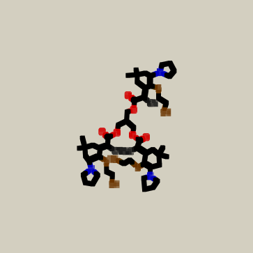 CC1(C)CC(N2CCCC2)=C(SCCS)/C(=C(\C#N)C(=O)OCC(COC(=O)/C(C#N)=C2\CC(C)(C)CC(N3CCCC3)=C2SCCS)COC(=O)/C(C#N)=C2\CC(C)(C)CC(N3CCCC3)=C2SCCS)C1